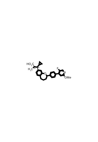 COc1cc(-c2ccc(C3CCCc4ccc([C@H](C5CC5)[C@H](C)C(=O)O)cc4O3)cc2)c(F)cn1